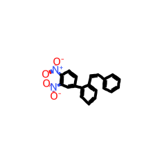 O=[N+]([O-])c1ccc(-c2ccccc2/C=C\c2ccccc2)cc1[N+](=O)[O-]